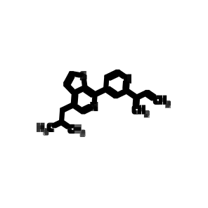 C=CC(=C)c1cc(-c2ncc(CC(C)C)c3ccsc23)ccn1